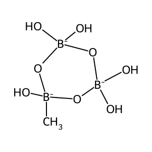 C[B-]1(O)O[B-](O)(O)O[B-](O)(O)O1